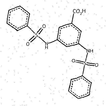 O=C(O)c1cc(NS(=O)(=O)c2ccccc2)cc(NS(=O)(=O)c2ccccc2)c1